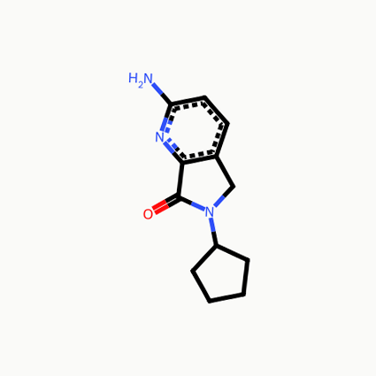 Nc1ccc2c(n1)C(=O)N(C1CCCC1)C2